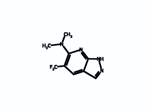 CN(C)c1nc2[nH]ncc2cc1C(F)(F)F